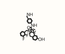 CN(C(=O)Nc1ccc(C=N)cc1)[C@H]1C2Cc3ccc(O)cc3[C@@]1(C)CCN2Cc1cccc(F)c1F